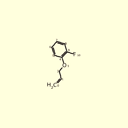 C=CCOc1[c]cccc1F